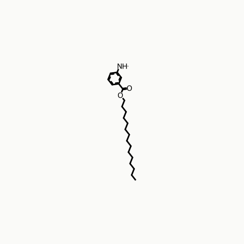 CCCCCCCCCCCCCCCOC(=O)c1cccc([NH])c1